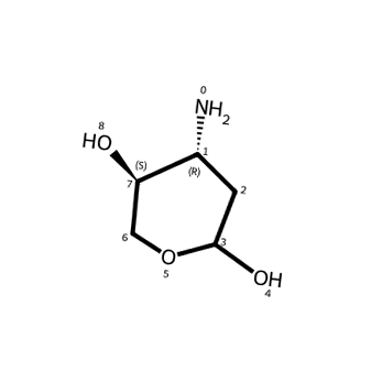 N[C@@H]1CC(O)OC[C@H]1O